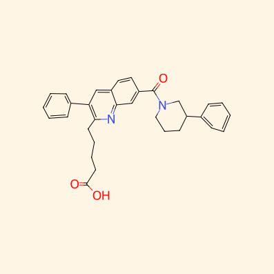 O=C(O)CCCCc1nc2cc(C(=O)N3CCCC(c4ccccc4)C3)ccc2cc1-c1ccccc1